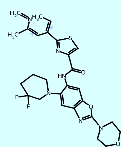 C=N/C(C)=C\C(=C/C)c1nc(C(=O)Nc2cc3oc(N4CCOCC4)nc3cc2N2CCCC(F)(F)C2)cs1